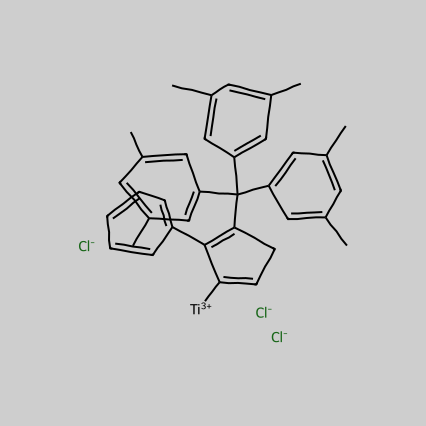 Cc1cc(C)cc(C(C2=C(c3ccccc3)[C]([Ti+3])=CC2)(c2cc(C)cc(C)c2)c2cc(C)cc(C)c2)c1.[Cl-].[Cl-].[Cl-]